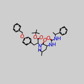 CC(C)CC(NC(=O)NC(C)c1ccccc1)C(=O)NC(Cc1ccc(OCc2ccccc2)cc1)C(=O)OC(C)(C)C